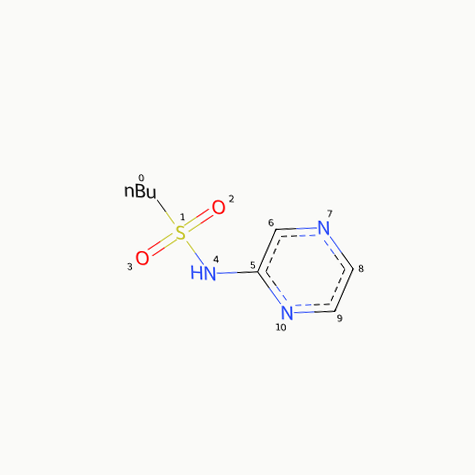 CCCCS(=O)(=O)Nc1cnccn1